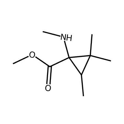 CNC1(C(=O)OC)C(C)C1(C)C